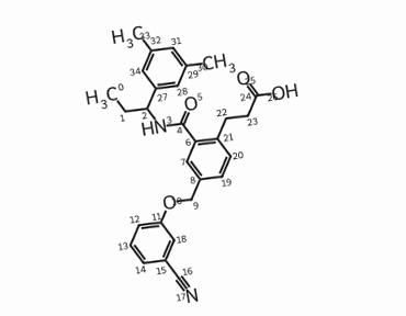 CCC(NC(=O)c1cc(COc2cccc(C#N)c2)ccc1CCC(=O)O)c1cc(C)cc(C)c1